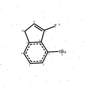 CC(C)(C)c1cccc2c1C(F)=CC2